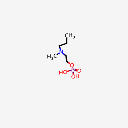 CCCN(C)CCOP(=O)(O)O